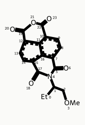 CCC(COC)N1C(=O)c2ccc3c4c(ccc(c24)C1=O)C(=O)OC3=O